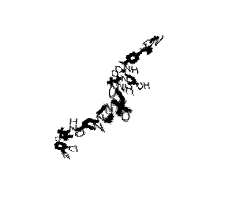 Cc1ncsc1-c1ccc([C@H](C)NC(=O)[C@@H]2C[C@@H](O)CN2C(=O)[C@@H](NC(=O)CC2(CN3CCN(c4ccc(C(=O)N[C@H]5C(C)(C)[C@H](Oc6ccc(C#N)c(Cl)c6)C5(C)C)cn4)CC3)COC2)C(C)(C)C)cc1